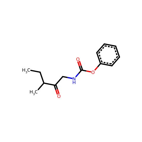 CCC(C)C(=O)CNC(=O)Oc1ccccc1